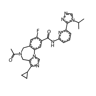 CC(=O)N1Cc2cc(F)c(C(=O)Nc3cccc(-c4nncn4C(C)C)n3)cc2-n2cnc(C3CC3)c2C1